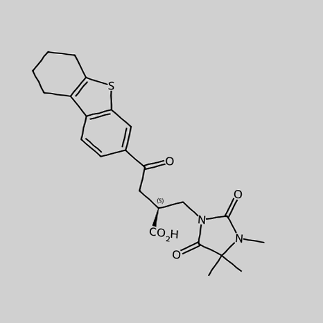 CN1C(=O)N(C[C@H](CC(=O)c2ccc3c4c(sc3c2)CCCC4)C(=O)O)C(=O)C1(C)C